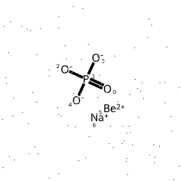 O=P([O-])([O-])[O-].[Be+2].[Na+]